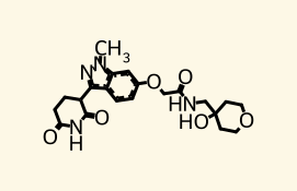 Cn1nc(C2CCC(=O)NC2=O)c2ccc(OCC(=O)NCC3(O)CCOCC3)cc21